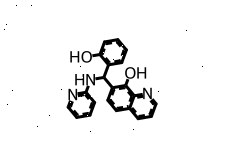 Oc1ccccc1C(Nc1ccccn1)c1ccc2cccnc2c1O